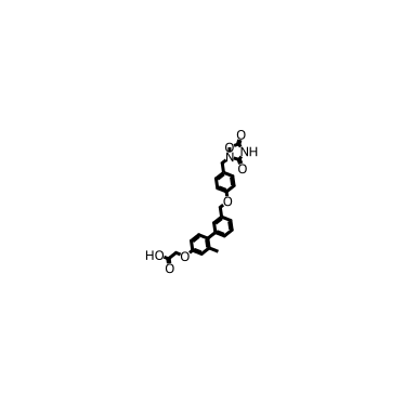 Cc1cc(OCC(=O)O)ccc1-c1cccc(COc2ccc(Cn3oc(=O)[nH]c3=O)cc2)c1